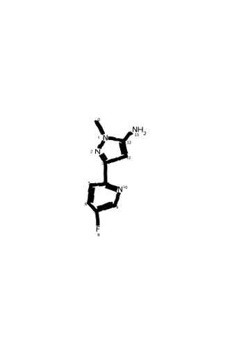 Cn1nc(-c2ccc(F)cn2)cc1N